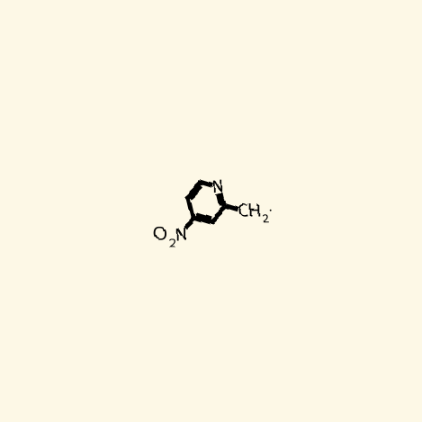 [CH2]c1cc([N+](=O)[O-])ccn1